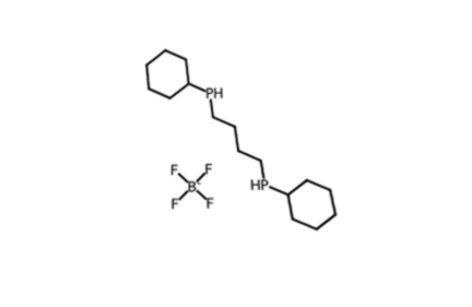 C1CCC(PCCCCPC2CCCCC2)CC1.F[B-](F)(F)F